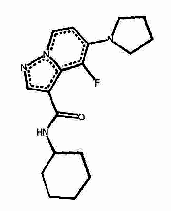 O=C(NC1CCCCC1)c1cnn2ccc(N3CCCC3)c(F)c12